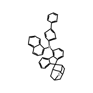 c1ccc(-c2ccc(N(c3cccc4c3-c3ccccc3C43C4CCC5CC(C4)CC3C5)c3cccc4ccccc34)cc2)cc1